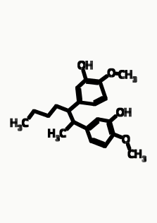 CCCCC(c1ccc(OC)c(O)c1)C(C)c1ccc(OC)c(O)c1